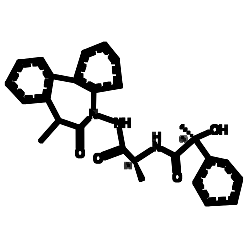 CC1C(=O)N(NC(=O)[C@H](C)NC(=O)[C@@](C)(O)c2ccccc2)c2ccccc2-c2ccccc21